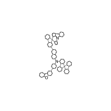 c1ccc2c(c1)-c1ccccc1C21c2ccccc2-c2c(N(c3ccc(-c4ccc5oc6ccccc6c5c4)cc3)c3ccc4cc(-c5ccc6c(c5)C5(c7ccccc7-6)c6ccccc6-n6c7ccccc7c7cccc5c76)ccc4c3)cccc21